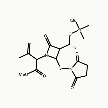 C=C(C)C(C(=O)OC)N1C(=O)C([C@@H](C)O[Si](C)(C)C(C)(C)C)C1SN1C(=O)CCC1=O